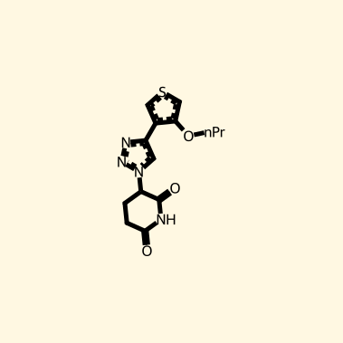 CCCOc1cscc1-c1cn(C2CCC(=O)NC2=O)nn1